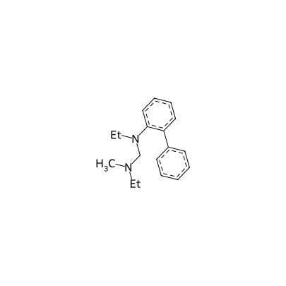 CCN(C)CN(CC)c1ccccc1-c1ccccc1